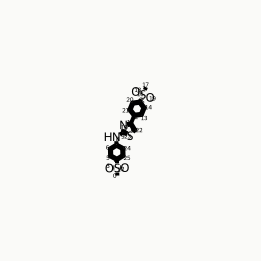 CS(=O)(=O)c1ccc(Nc2nc(-c3ccc(S(C)(=O)=O)cc3)cs2)cc1